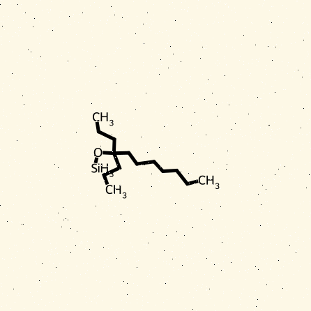 CCCCCCCC(CCC)(CCC)O[SiH3]